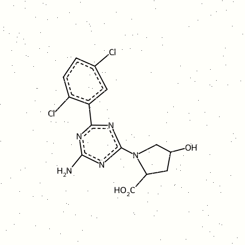 Nc1nc(-c2cc(Cl)ccc2Cl)nc(N2CC(O)CC2C(=O)O)n1